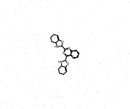 C1=C2OC(c3nc(C4NC5CCCC=C5O4)c4ccccc4n3)NC2CCC1